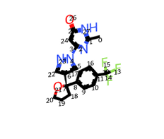 Cc1nc(-n2cc([C@@]3(c4ccc(C(F)(F)F)cc4)CCCO3)cn2)cc(=O)[nH]1